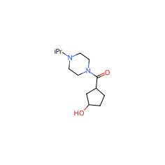 CC(C)N1CCN(C(=O)C2CCC(O)C2)CC1